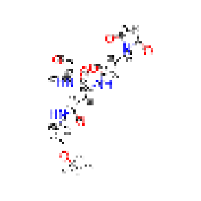 CCC(C)(C)OCCC(C)(C)NC(=O)CC[C@H](NC(=O)CCCN1C(=O)C=CC1=O)C(=O)N[C@@H](C)C=O